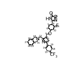 O=c1[nH]c(-c2ccc(OCc3sc(C4=CCC(C(F)(F)F)C=C4)nc3CN3Cc4ccccc4C3)cc2F)no1